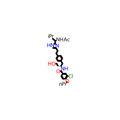 CCCOc1ccc(C(=O)N[C@H](CCO)Cc2ccc(CCc3c[nH]c([C@@H](CC(C)C)NC(C)=O)n3)cc2)cc1Cl